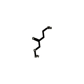 CCCOCC(=O)CCC(C)(C)C